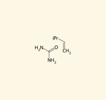 C=CC(C)C.NC(N)=O